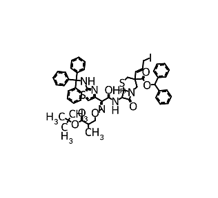 CC(CON=C(C(=O)NC1C(=O)N2CC(C=CCI)(C(=O)OC(c3ccccc3)c3ccccc3)CS[C@H]12)c1csc(NC(c2ccccc2)(c2ccccc2)c2ccccc2)n1)C(=O)OC(C)(C)C